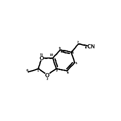 CC1Oc2ccc(CC#N)cc2O1